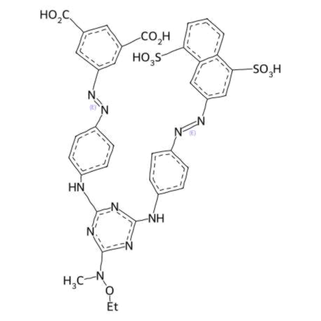 CCON(C)c1nc(Nc2ccc(/N=N/c3cc(C(=O)O)cc(C(=O)O)c3)cc2)nc(Nc2ccc(/N=N/c3cc(S(=O)(=O)O)c4cccc(S(=O)(=O)O)c4c3)cc2)n1